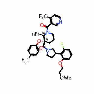 CCC[C@H]1N(C(=O)c2cnccc2C(F)(F)F)CCC[C@@]1(Oc1ccc(C(F)(F)F)cc1)C(=O)N1CCC(c2c(F)cccc2OCCOC)C1